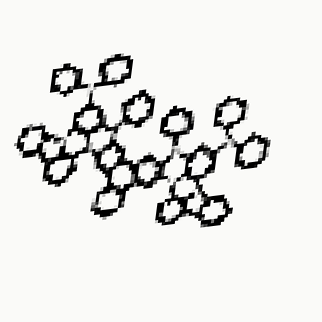 c1ccc(N(c2ccccc2)c2cc3c4c(c2)-n2c5ccccc5c5cccc(c52)B4c2cc4c5ccccc5c5cc6c(cc5c4cc2N3c2ccccc2)N(c2ccccc2)c2cc(N(c3ccccc3)c3ccccc3)cc3c2B6c2cccc4c5ccccc5n-3c24)cc1